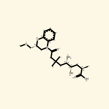 COC[C@H]1CN(C(=O)CC(C)(C)C[C@H](N)[C@@H](O)C[C@@H](C)C(=O)O)c2ccccc2O1